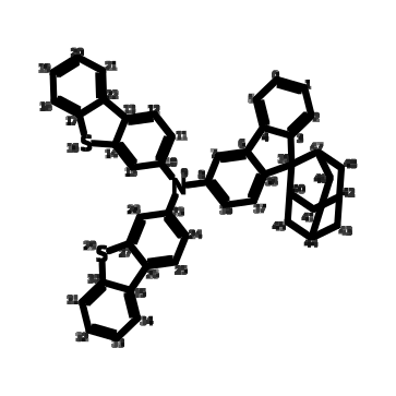 c1ccc2c(c1)-c1cc(N(c3ccc4c(c3)sc3ccccc34)c3ccc4c(c3)sc3ccccc34)ccc1C21C2CC3CC(C2)CC1C3